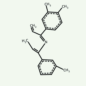 C=C/C(=N\C(=C/C)c1cccc(C)c1)c1ccc(C)c(C)c1